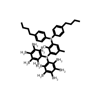 Bc1c(B)c(B)c(N(c2cc(C)cc(N(c3ccc(CCCC)cc3)c3ccc(CCCC)cc3)c2Cl)c2c(B)c(B)c(B)c(B)c2B)c(B)c1B